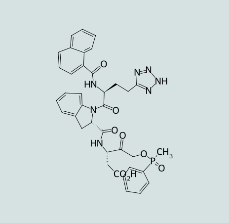 CP(=O)(OCC(=O)[C@H](CC(=O)O)NC(=O)[C@@H]1Cc2ccccc2N1C(=O)[C@H](CCc1nn[nH]n1)NC(=O)c1cccc2ccccc12)c1ccccc1